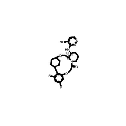 N#Cc1ccnnc1N[C@H]1CCCN2C(=O)COc3cc(F)cc(F)c3C3CCC(CC3)OC[C@@H]12